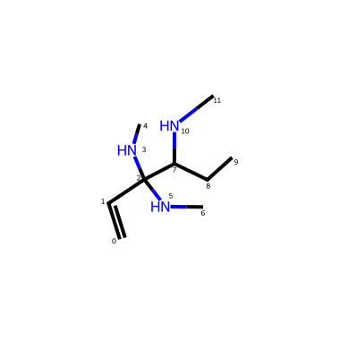 C=CC(NC)(NC)C(CC)NC